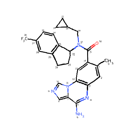 Cc1cc2nc(N)c3cncn3c2cc1C(=O)N(CC1CC1)C1CCc2cc(C(F)(F)F)ccc21